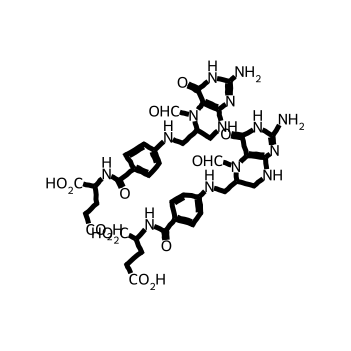 Nc1nc2c(c(=O)[nH]1)N(C=O)C(CNc1ccc(C(=O)NC(CCC(=O)O)C(=O)O)cc1)CN2.Nc1nc2c(c(=O)[nH]1)N(C=O)C(CNc1ccc(C(=O)NC(CCC(=O)O)C(=O)O)cc1)CN2